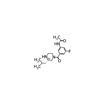 CC(=O)Nc1cc(F)cc(C(=O)N2CCN[C@@H](CC(C)C)C2)c1